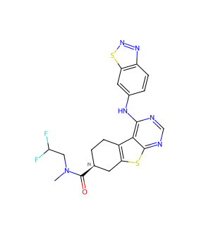 CN(CC(F)F)C(=O)[C@H]1CCc2c(sc3ncnc(Nc4ccc5nnsc5c4)c23)C1